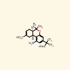 CCCCCCC(c1cc(N)c2c(c1)OC(C)(C)[C@@H]1CC=C(C(=O)O)C[C@@H]21)(C(F)(F)F)C(F)(F)F